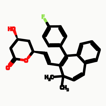 CC1(C)C=Cc2ccccc2C(c2ccc(F)cc2)=C1/C=C/[C@@H]1C[C@@H](O)CC(=O)O1